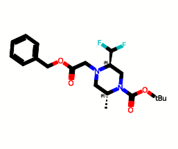 C[C@@H]1CN(CC(=O)OCc2ccccc2)[C@@H](C(F)F)CN1C(=O)OC(C)(C)C